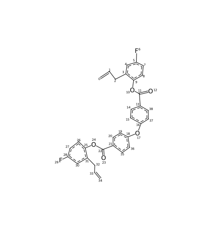 C=CCc1cc(F)ccc1OC(=O)c1ccc(Oc2ccc(C(=O)Oc3ccc(F)cc3CC=C)cc2)cc1